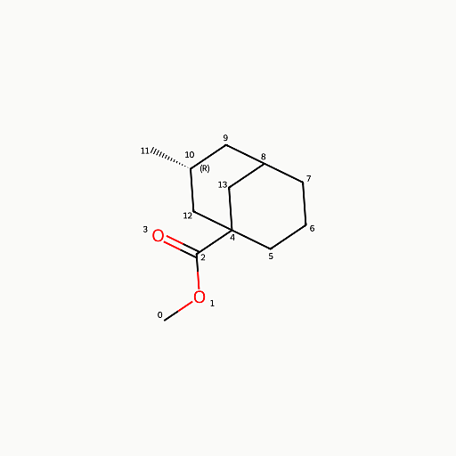 COC(=O)C12CCCC(C[C@@H](C)C1)C2